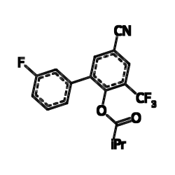 CC(C)C(=O)Oc1c(-c2cccc(F)c2)cc(C#N)cc1C(F)(F)F